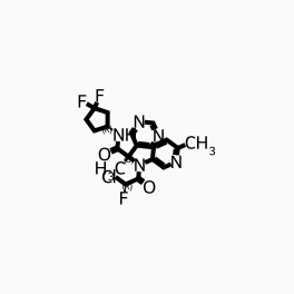 Cc1ccc(N(C(=O)[C@H](F)Cl)[C@](C)(C(=O)N[C@@H]2CCC(F)(F)C2)c2cncnc2)cn1